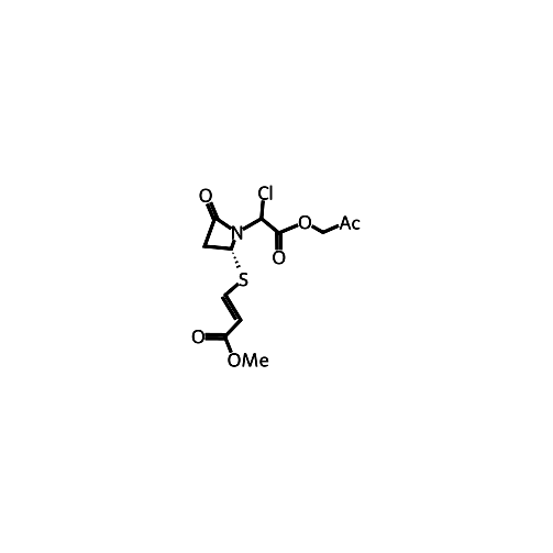 COC(=O)/C=C/S[C@@H]1CC(=O)N1C(Cl)C(=O)OCC(C)=O